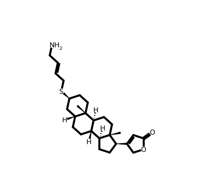 C[C@]12CC[C@H](SC/C=C/CN)C[C@H]1CC[C@@H]1[C@@H]2CC[C@]2(C)[C@@H](C3=CC(=O)OC3)CC[C@@H]12